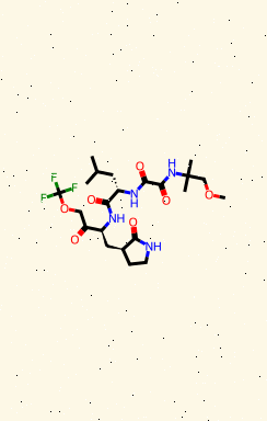 COCC(C)(C)NC(=O)C(=O)N[C@@H](CC(C)C)C(=O)N[C@@H](C[C@@H]1CCNC1=O)C(=O)COC(F)(F)F